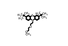 COCCOCCN1c2ccc(C(C)(C)C)cc2Sc2cc(C(C)(C)C)ccc21